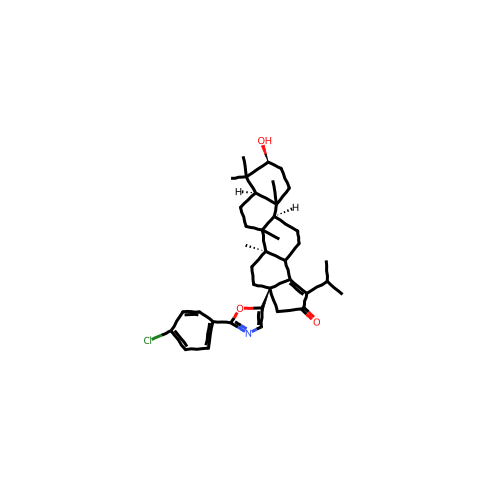 CC(C)C1=C2C3CC[C@@H]4C5(C)CC[C@H](O)C(C)(C)[C@@H]5CCC4(C)[C@]3(C)CC[C@@]2(c2cnc(-c3ccc(Cl)cc3)o2)CC1=O